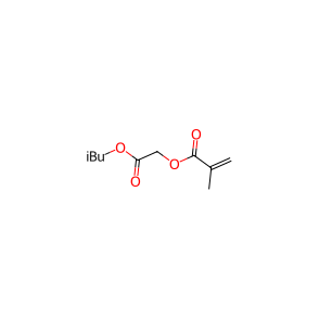 C=C(C)C(=O)OCC(=O)OC(C)CC